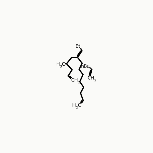 C=CCCCC.C=CCCCCCCC(=CCC)CC(C)CC=C